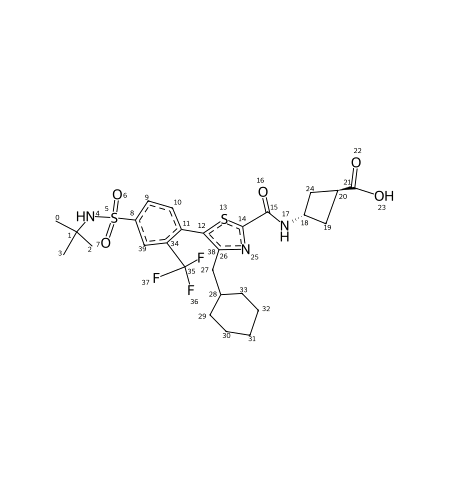 CC(C)(C)NS(=O)(=O)c1ccc(-c2sc(C(=O)N[C@H]3C[C@H](C(=O)O)C3)nc2CC2CCCCC2)c(C(F)(F)F)c1